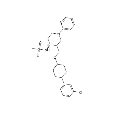 CS(=O)(=O)N[C@H]1CCN(c2ccccn2)CC1COC1CCC(c2cccc(Cl)c2)CC1